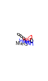 COC1NC(C2=CCC3C=C4CCC=CC4=CC3=C2)=NC(C2C=CC=CC2O)N1